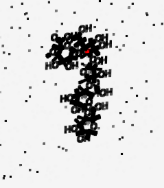 CO[C@]1(C)C(C)(C(=O)O)O[C@@](C)(O[C@](C)(C(C)(C)C(=O)O)C(C)(O)C(C)(O)[C@@](C)(O)O[C@]2(C)O[C@@](C)(O[C@]3(C)[C@H](C(=O)O)O[C@@](C)(O[C@]4(C)C(C)(C(=O)O)OC(C)(C)C(C)(O)[C@]4(C)O)C(C)(O)C3(C)O)C(C)(O)[C@@]2(C)O)C(C)(O)[C@]1(C)O